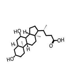 C[C@H](CCC(=O)O)C1CC[C@H]2C3[C@H](O)C[C@@H]4C[C@H](O)CC[C@]4(C)[C@H]3CC[C@]12C